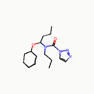 CCCC(OC1CCCCC1)N(CCC)C(=O)n1ccnn1